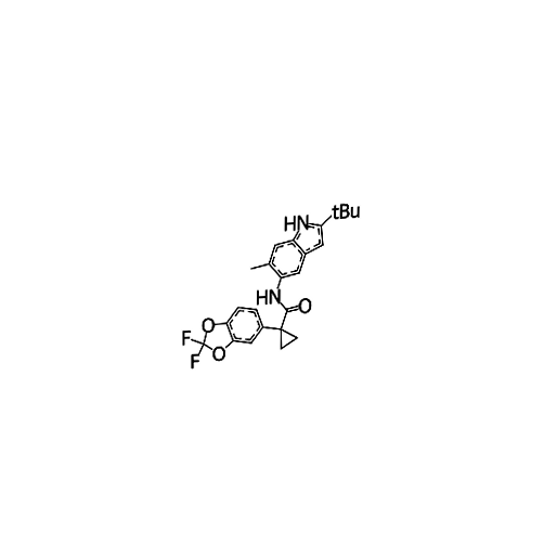 Cc1cc2[nH]c(C(C)(C)C)cc2cc1NC(=O)C1(c2ccc3c(c2)OC(F)(F)O3)CC1